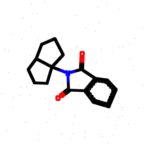 O=C1c2ccccc2C(=O)N1C12CCCC1CCC2